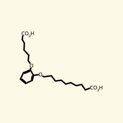 O=C(O)CCCCCCCCCOc1ccccc1OCCCCCC(=O)O